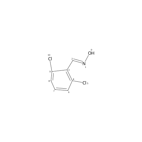 O/N=C/c1c(Cl)cccc1Cl